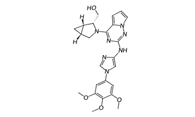 COc1cc(-n2cnc(Nc3nc(N4C[C@@H]5C[C@@H]5[C@@H]4CO)c4cccn4n3)c2)cc(OC)c1OC